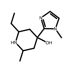 CCC1CC(O)(c2nccn2C)CC(C)N1